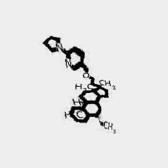 CC[C@H]1CC2C3CCC(C)(CCOCc4ccc(N5CCCC5)nc4)C3(C)CC[C@@H]2C2(C)CCCCC12